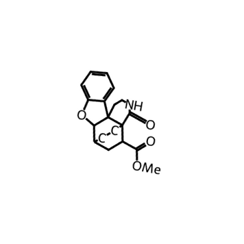 COC(=O)C1CC2CCC13C(=O)NCCC31c3ccccc3OC21